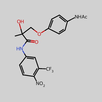 CC(=O)Nc1ccc(OCC(C)(O)C(=O)Nc2ccc([N+](=O)[O-])c(C(F)(F)F)c2)cc1